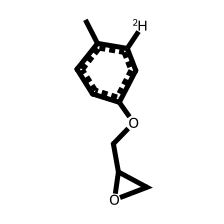 [2H]c1cc(OCC2CO2)ccc1C